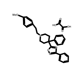 COc1ccc(CCN2CCC(c3ccccc3)(c3nc(-c4ccccc4)no3)CC2)cc1.O=C(O)C(=O)O